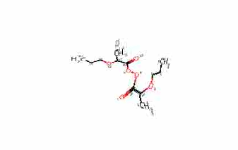 CCCOC(C)C(=O)OOC(=O)C(C)OCCC